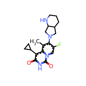 Cc1c(N2CC3CCCNC3C2)c(F)cn2c(=O)[nH]c(=O)c(C3CC3)c12